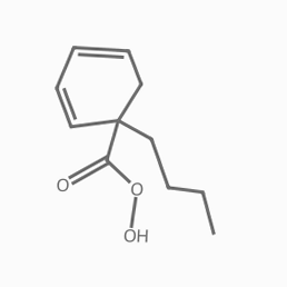 CCCCC1(C(=O)OO)C=CC=CC1